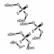 CCCCCCCCCCOP(=S)([S-])OCCCCCCCCCC.CCCCCCCCCCOP(=S)([S-])OCCCCCCCCCC.CCCCCCCCCCOP(=S)([S-])OCCCCCCCCCC.CCC[CH2][Sn+3]